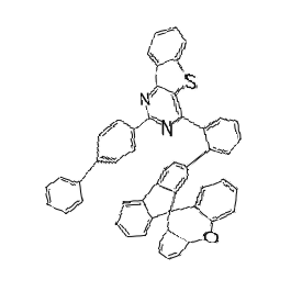 C1=CC2Oc3ccccc3C3(c4ccccc4-c4ccc(-c5ccccc5-c5nc(-c6ccc(-c7ccccc7)cc6)nc6c5sc5ccccc56)cc43)C2C=C1